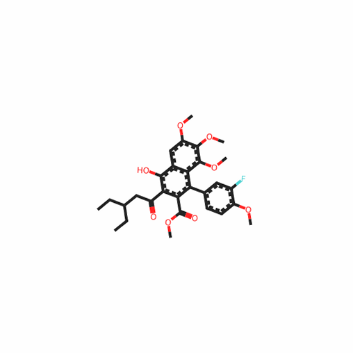 CCC(CC)CC(=O)c1c(C(=O)OC)c(-c2ccc(OC)c(F)c2)c2c(OC)c(OC)c(OC)cc2c1O